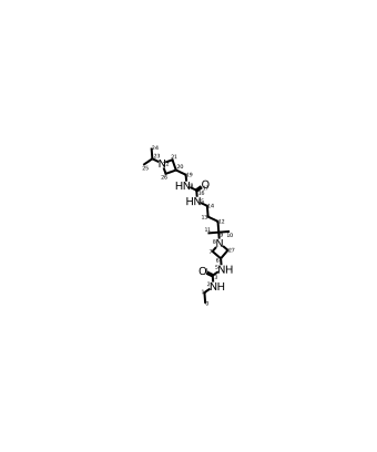 CCNC(=O)NC1CN(C(C)(C)CCCNC(=O)NCC2CN(C(C)C)C2)C1